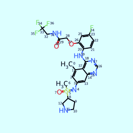 Cc1cc(N=S(C)(=O)C2CCNC2)cc2ncnc(Nc3ccc(F)cc3OCC(=O)NCC(F)(F)F)c12